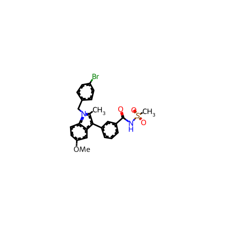 COc1ccc2c(c1)c(-c1cccc(C(=O)NS(C)(=O)=O)c1)c(C)n2Cc1ccc(Br)cc1